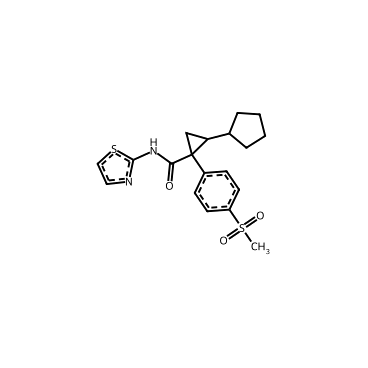 CS(=O)(=O)c1ccc(C2(C(=O)Nc3nccs3)CC2C2CCCC2)cc1